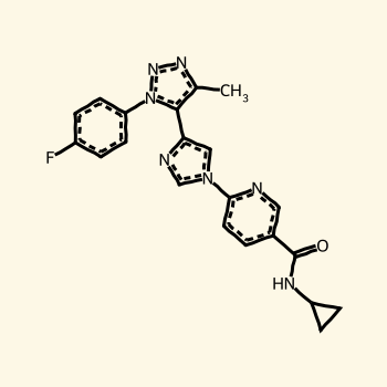 Cc1nnn(-c2ccc(F)cc2)c1-c1cn(-c2ccc(C(=O)NC3CC3)cn2)cn1